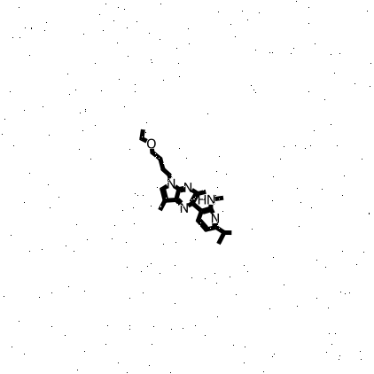 CCOCCCCn1cc(C)c2nc(-c3ccc(C(C)C)nc3NC)c(C)nc21